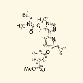 CCC(C)CN(C)C(=O)OCc1c(-c2ccc(O[C@H]3CCC[C@H](C(=O)OC)C3)c(C3CC3)n2)nnn1C